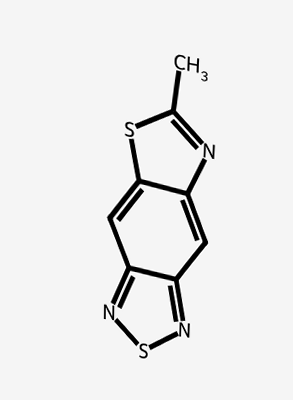 Cc1nc2cc3nsnc3cc2s1